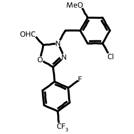 COc1ccc(Cl)cc1CN1N=C(c2ccc(C(F)(F)F)cc2F)OC1C=O